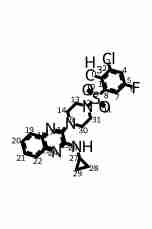 Cc1c(Cl)cc(F)cc1S(=O)(=O)N1CCN(c2nc3ccccc3nc2NC2CC2)CC1